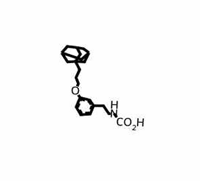 O=C(O)NCCc1cccc(OCCCC23CC4CC(CC(C4)C2)C3)c1